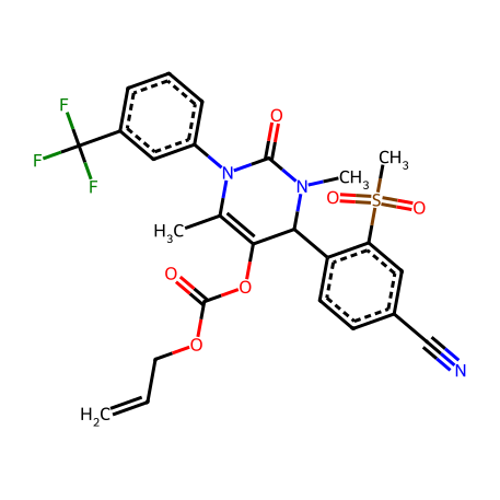 C=CCOC(=O)OC1=C(C)N(c2cccc(C(F)(F)F)c2)C(=O)N(C)C1c1ccc(C#N)cc1S(C)(=O)=O